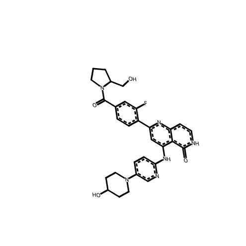 O=C(c1ccc(-c2cc(Nc3ccc(N4CCC(O)CC4)cn3)c3c(=O)[nH]ccc3n2)c(F)c1)N1CCCC1CO